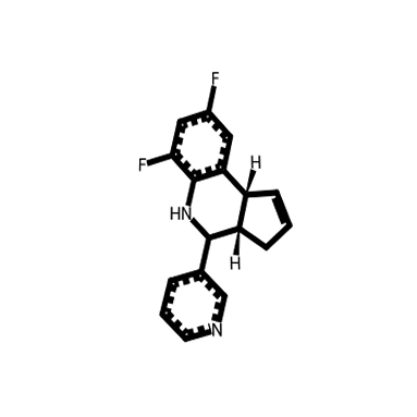 Fc1cc(F)c2c(c1)[C@@H]1C=CC[C@@H]1C(c1cccnc1)N2